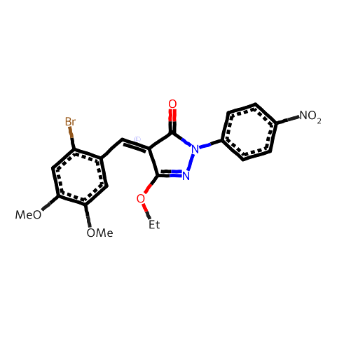 CCOC1=NN(c2ccc([N+](=O)[O-])cc2)C(=O)/C1=C/c1cc(OC)c(OC)cc1Br